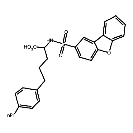 CCCc1ccc(CCCC(NS(=O)(=O)c2ccc3oc4ccccc4c3c2)C(=O)O)cc1